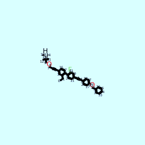 CCc1cc(C#CCOCC(C)(C)[SiH](C)C)ccc1-c1ccc(C#Cc2ccc(OCc3ccccc3)cc2)cc1F